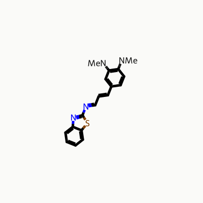 CNc1ccc(C=CC=Nc2nc3ccccc3s2)cc1NC